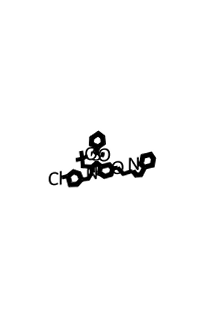 CC(C)(C)Cc1c(S(=O)(=O)c2ccccc2)c2cc(OCc3ccc4ccccc4n3)ccc2n1Cc1ccc(Cl)cc1